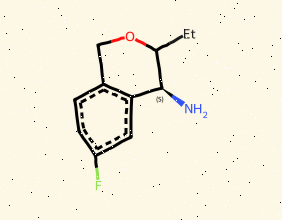 CCC1OCc2ccc(F)cc2[C@@H]1N